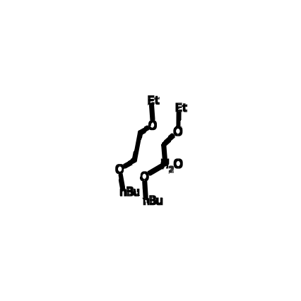 CCCCOCCOCC.CCCCOCCOCC.O